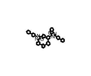 c1ccc(-c2ccc(-c3nc(-c4cccc(-c5cccc(-c6cccc(-c7cccc(-c8nc(-c9ccc(-c%10ccccc%10)cc9)nc9c8oc8ccccc89)c7)c6)c5)c4)c4oc5ccccc5c4n3)cc2)cc1